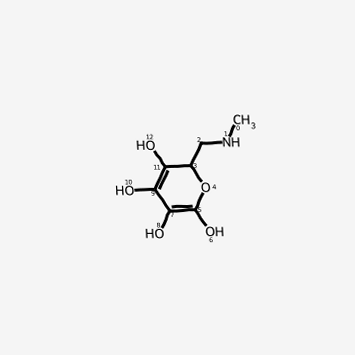 CNCC1OC(O)=C(O)C(O)=C1O